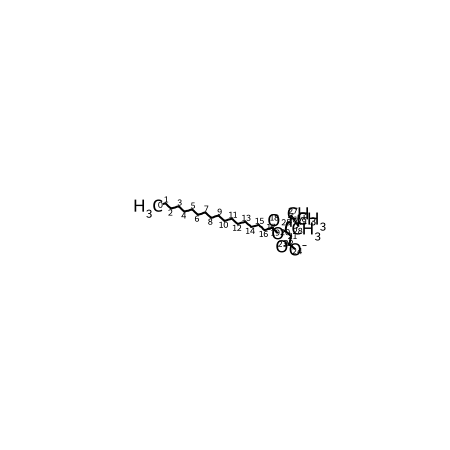 CCCCCCCCCCCCCCCCCC(=O)OC(CC(=O)[O-])C[N+](C)(C)C